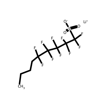 CCCCC(F)(F)C(F)(F)C(F)(F)C(F)(F)C(F)(F)S(=O)(=O)[O-].[Li+]